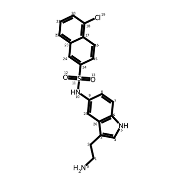 NCCc1c[nH]c2ccc(NS(=O)(=O)c3ccc4c(Cl)cccc4c3)cc12